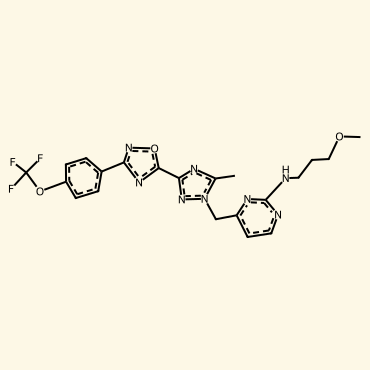 COCCCNc1nccc(Cn2nc(-c3nc(-c4ccc(OC(F)(F)F)cc4)no3)nc2C)n1